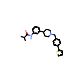 CC(C)C(=O)Nc1cccc(C2CCN(Cc3ccc(-c4cccs4)cc3)CC2)c1